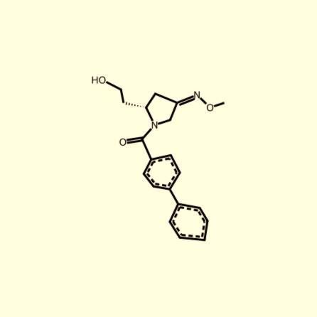 CON=C1C[C@@H](CCO)N(C(=O)c2ccc(-c3ccccc3)cc2)C1